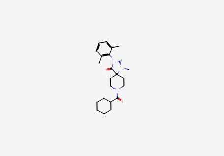 Cc1cccc(C)c1NC(=O)C1(N(C)C)CCN(C(=O)C2CCCCC2)CC1